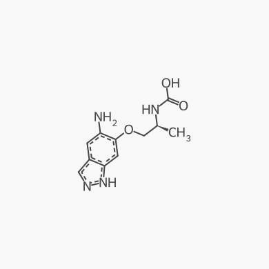 C[C@@H](COc1cc2[nH]ncc2cc1N)NC(=O)O